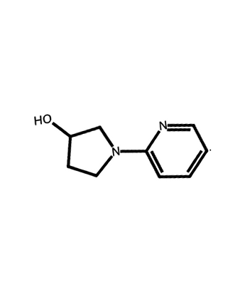 OC1CCN(c2cc[c]cn2)C1